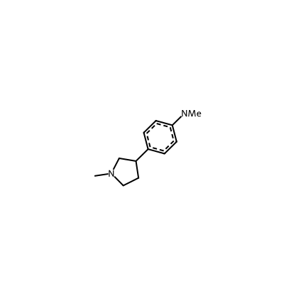 CNc1ccc(C2CCN(C)C2)cc1